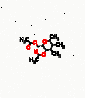 CC(=O)OC[C@H]1OC(C)[C@@H](C)[C@@H](C)C1OC(C)=O